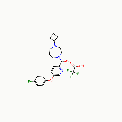 O=C(O)C(F)(F)F.O=C(c1ccc(Oc2ccc(F)cc2)cn1)N1CCCN(C2CCC2)CC1